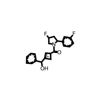 O=C(N1CC(F)CC1c1cccc(F)c1)C12CC(C(O)c3ccccc3)(C1)C2